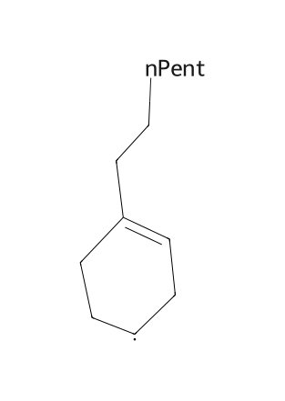 CCCCCCCC1=CC[CH]CC1